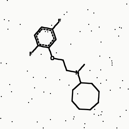 CN(CCOc1cc(F)ccc1F)C1CCCCCCC1